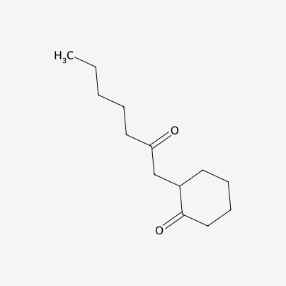 CCCCCC(=O)CC1CCCCC1=O